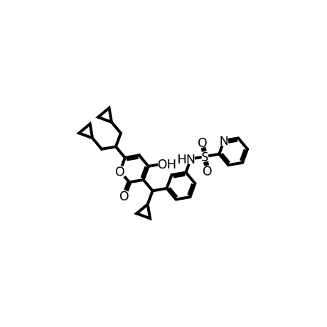 O=c1oc(C(CC2CC2)CC2CC2)cc(O)c1C(c1cccc(NS(=O)(=O)c2ccccn2)c1)C1CC1